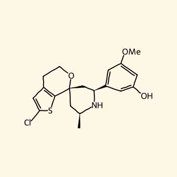 COc1cc(O)cc([C@@H]2C[C@]3(C[C@H](C)N2)OCCc2cc(Cl)sc23)c1